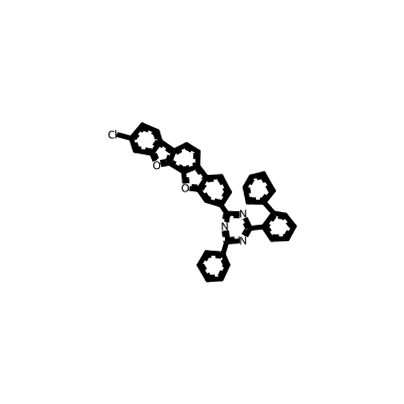 Clc1ccc2c(c1)oc1c2ccc2c3ccc(-c4nc(-c5ccccc5)nc(-c5ccccc5-c5ccccc5)n4)cc3oc21